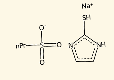 CCCS(=O)(=O)[O-].Sc1ncc[nH]1.[Na+]